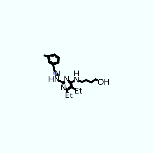 CCc1nc(N/N=C/c2cccc(C)c2)nc(NCCCCO)c1CC